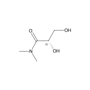 CN(C)C(=O)[C@@H](O)CO